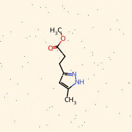 COC(=O)CCc1cc(C)[nH]n1